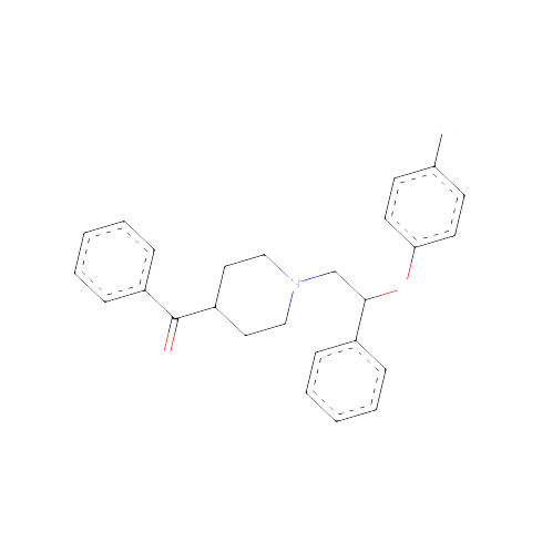 Cc1ccc(OC(CN2CCC(C(=O)c3ccccc3)CC2)c2ccccc2)cc1